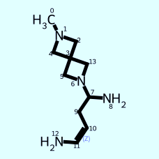 CN1CC2(C1)CN(C(N)C/C=C\N)C2